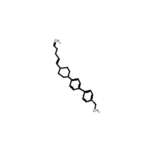 C=CCCC=CC1CCC(c2ccc(-c3ccc(CC)cc3)cc2)CC1